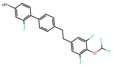 CCCc1ccc(-c2ccc(CCc3cc(F)c(OC(F)F)c(F)c3)cc2)c(F)c1